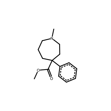 COC(=O)C1(c2ccccc2)CCCN(C)CC1